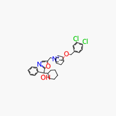 O[C@](c1ccccc1)(c1ncc(C[N+]23CCC(CC2)C(OCc2ccc(Cl)c(Cl)c2)C3)o1)C1CCCCC1